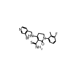 Cc1c(F)cccc1N1CCC(NCc2ccncc2Br)=C(C(N)=S)C1=O